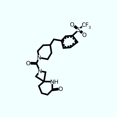 O=C1CCCC2(CN(C(=O)N3CCC(Cc4cccc(S(=O)(=O)C(F)(F)F)c4)CC3)C2)N1